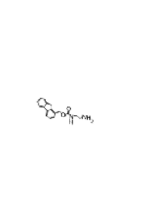 NCCNC(=O)OCc1cccc2c1Cc1ccccc1-2